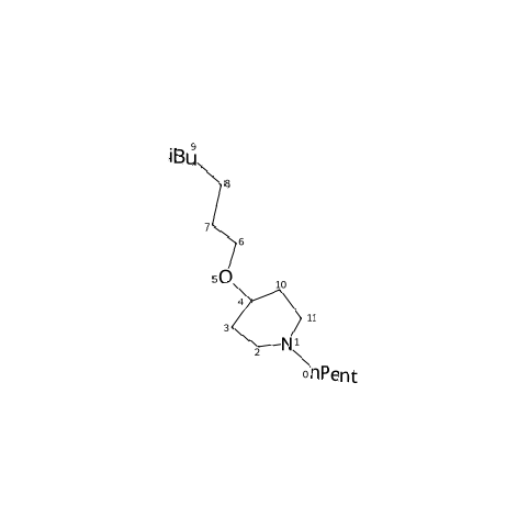 CCCCCN1CCC(OCCCC(C)CC)CC1